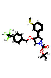 CSc1cccc(C2CN(C(=O)OC(C)(C)C)CC2OCc2ccc(C(F)(F)F)cc2)c1